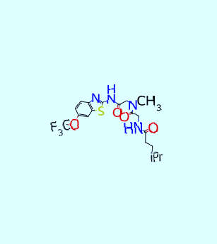 CC(C)CCC(=O)NCC(=O)N(C)CC(=O)Nc1nc2ccc(OC(F)(F)F)cc2s1